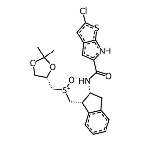 CC1(C)OC[C@@H](C[S+]([O-])C[C@H]2c3ccccc3C[C@H]2NC(=O)c2cc3cc(Cl)sc3[nH]2)O1